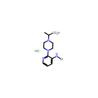 CCNc1cccnc1N1CCN(C(C)C(=O)O)CC1.Cl